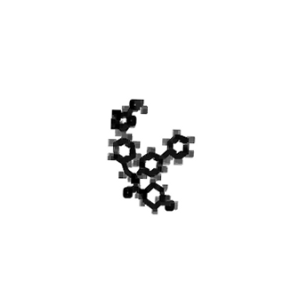 O=C(N1CC[S+]([O-])CC1)N(Cc1ccc(-c2nnc(C(F)(F)F)o2)cc1)c1ccc(-c2ccccc2)cc1